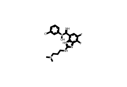 CN(C)CCCNc1nc2c(F)c(F)cc(C(=N)N(O)c3cccc(Cl)c3)c2[nH]1